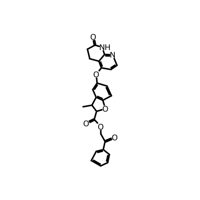 CC1c2cc(Oc3ccnc4c3CCC(=O)N4)ccc2OC1C(=O)OCC(=O)c1ccccc1